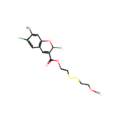 CC(C)(C)c1cc2c(cc1Cl)C=C(C(=O)OCCSSCCO[N+](=O)[O-])C(C(F)(F)F)O2